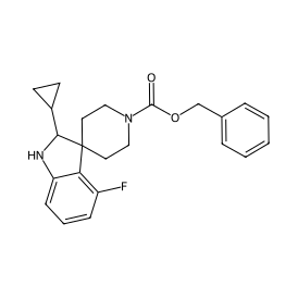 O=C(OCc1ccccc1)N1CCC2(CC1)c1c(F)cccc1NC2C1CC1